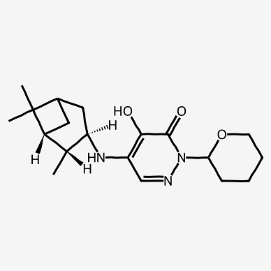 C[C@@H]1[C@H]2CC(C[C@H]1Nc1cnn(C3CCCCO3)c(=O)c1O)C2(C)C